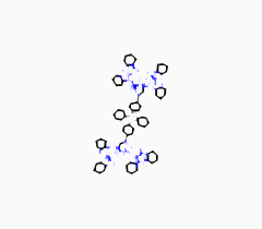 c1ccc([Si](c2ccccc2)(c2ccc(-c3cc(-n4c5ccccc5n5c6ccccc6nc45)nc(-n4c5ccccc5n5c6ccccc6nc45)n3)cc2)c2ccc(-c3cc(-n4c5ccccc5n5c6ccccc6nc45)nc(-n4c5ccccc5n5c6ccccc6nc45)n3)cc2)cc1